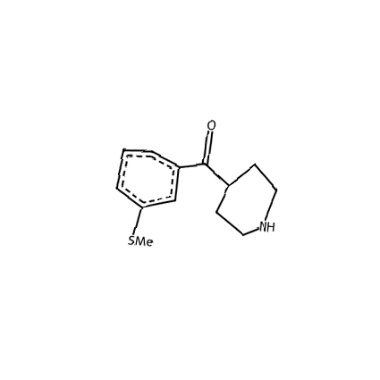 CSc1cccc(C(=O)C2CCNCC2)c1